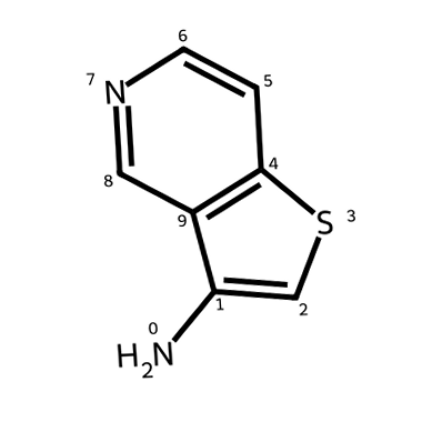 Nc1csc2ccncc12